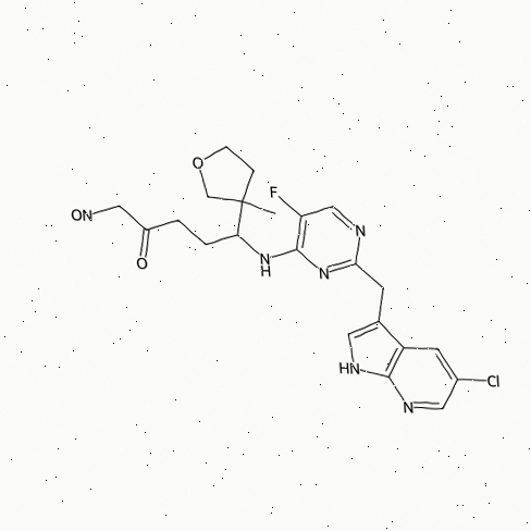 CC1(C(CCC(=O)CN=O)Nc2nc(Cc3c[nH]c4ncc(Cl)cc34)ncc2F)CCOC1